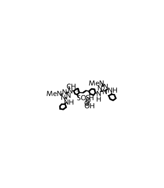 CNc1nc(Nc2ccccc2)nc(Nc2ccc(/C=C/c3ccc(N(C)c4nc(NC)nc(Nc5ccccc5)n4)cc3S(=O)(=O)O)c(SOOO)c2)n1